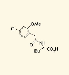 CC[C@H](C)[C@H](NC(=O)Cc1ccc(Cl)cc1OC)C(=O)O